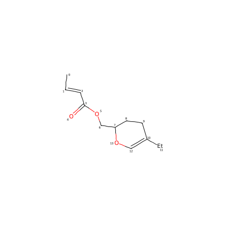 C/C=C/C(=O)OCC1CCC(CC)=CO1